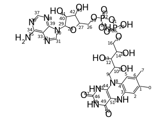 Cc1cc2c(cc1C)N(CC(O)C(O)C(O)COP(=O)(O)OP(=O)(O)OCC1OC(n3cnc4c(N)ncnc43)C(O)C1O)c1[nH]c(=O)[nH]c(=O)c1N2